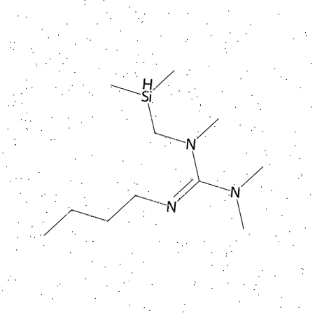 CCCCN=C(N(C)C)N(C)C[SiH](C)C